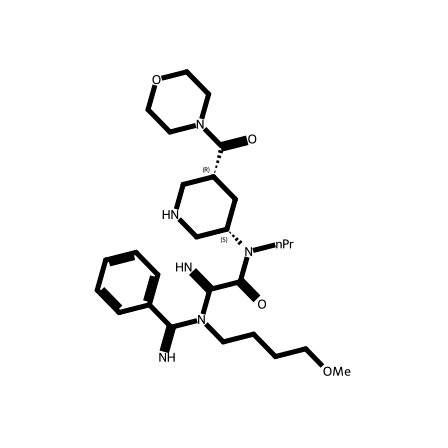 CCCN(C(=O)C(=N)N(CCCCOC)C(=N)c1ccccc1)[C@@H]1CNC[C@H](C(=O)N2CCOCC2)C1